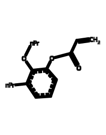 C=CC(=O)Oc1cccc(CCC)c1OCCC